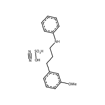 COc1cccc(CCCNc2ccccc2)c1.N#N.O=S(=O)(O)O